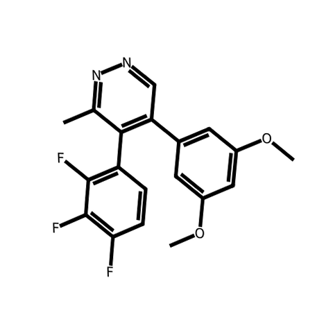 COc1cc(OC)cc(-c2cnnc(C)c2-c2ccc(F)c(F)c2F)c1